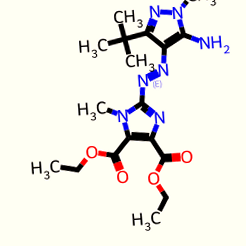 CCOC(=O)c1nc(/N=N/c2c(C(C)(C)C)nn(C)c2N)n(C)c1C(=O)OCC